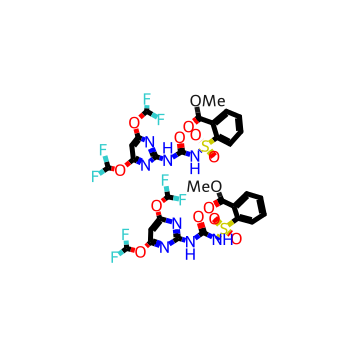 COC(=O)c1ccccc1S(=O)(=O)NC(=O)Nc1nc(OC(F)F)cc(OC(F)F)n1.COC(=O)c1ccccc1S(=O)(=O)NC(=O)Nc1nc(OC(F)F)cc(OC(F)F)n1